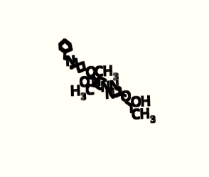 CC[C@@H](O)COc1cnc(N2C[C@@H](C)N(C(=O)OC3CC4(C3)CN(Cc3ccccc3)C4)[C@@H](C)C2)nc1